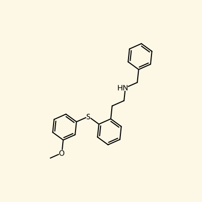 COc1cccc(Sc2ccccc2CCNCc2ccccc2)c1